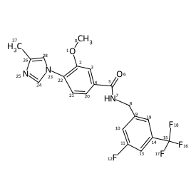 COc1cc(C(=O)NCc2cc(F)cc(C(F)(F)F)c2)ccc1-n1cnc(C)c1